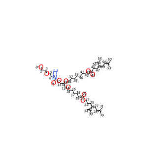 COCCOCCNC(=O)OCC(COCCCCCC(=O)OCCCC(CCC(C)C)C(C)C)OCCCCCCCOC(=O)CCC(CCC(C)C)C(C)C